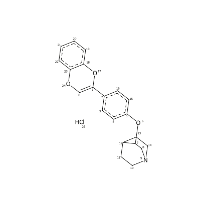 C1=C(c2ccc(OC3CN4CCC3CC4)cc2)Oc2ccccc2O1.Cl